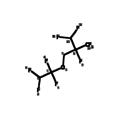 FC(F)C(F)(F)OCC(F)(C(F)F)C(F)(F)F